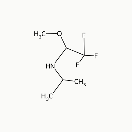 COC(NC(C)C)C(F)(F)F